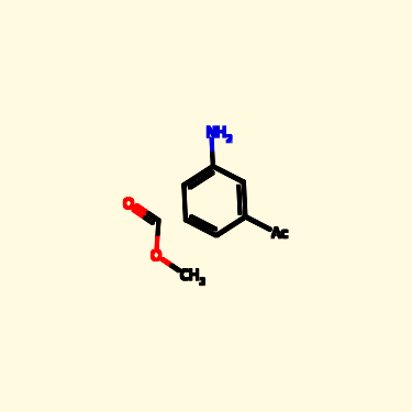 CC(=O)c1cccc(N)c1.COC=O